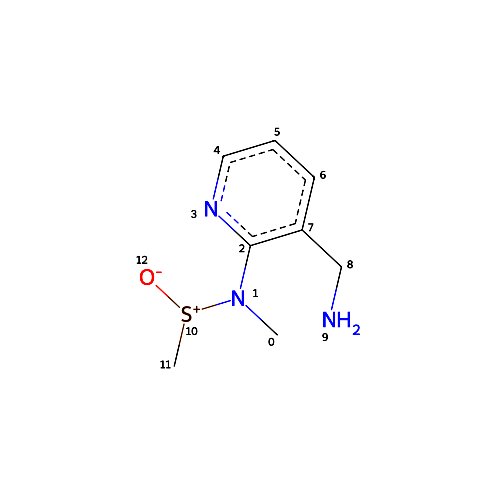 CN(c1ncccc1CN)[S+](C)[O-]